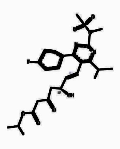 CC(C)OC(=O)CC(=O)C[C@H](O)/C=C/c1c(-c2ccc(F)cc2)nc(N(C)S(C)(=O)=O)nc1C(C)C